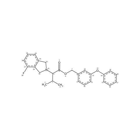 CC(C)C(C(=O)OCc1cccc(Oc2ccccc2)c1)N1Cc2cccc(F)c2C1